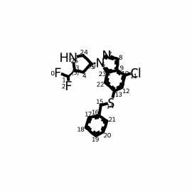 FC(F)[C@@H]1C[C@@H](n2ncc3c(Cl)cc(SCc4ccccc4)cc32)CN1